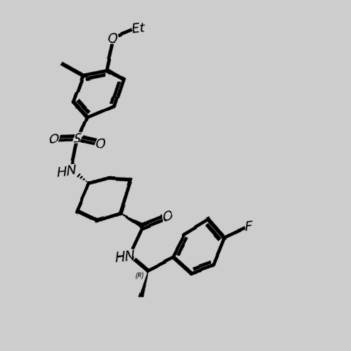 CCOc1ccc(S(=O)(=O)N[C@H]2CC[C@H](C(=O)N[C@H](C)c3ccc(F)cc3)CC2)cc1C